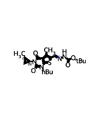 CCCCn1c(=O)n([C@H]2C[C@@H]2C)c(=O)c2c(C)c(/C=N/NC(=O)OC(C)(C)C)sc21